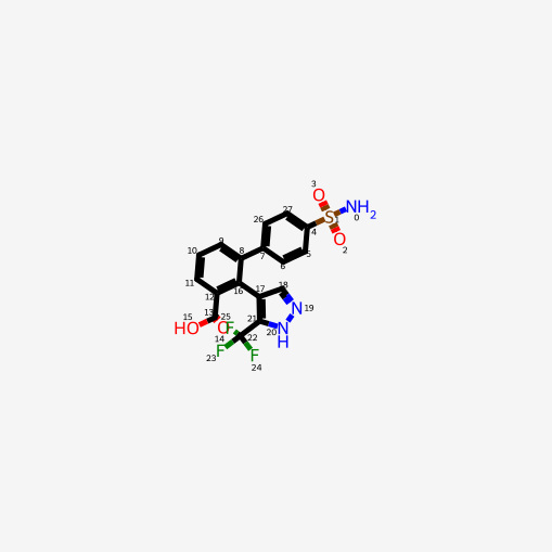 NS(=O)(=O)c1ccc(-c2cccc(C(=O)O)c2-c2cn[nH]c2C(F)(F)F)cc1